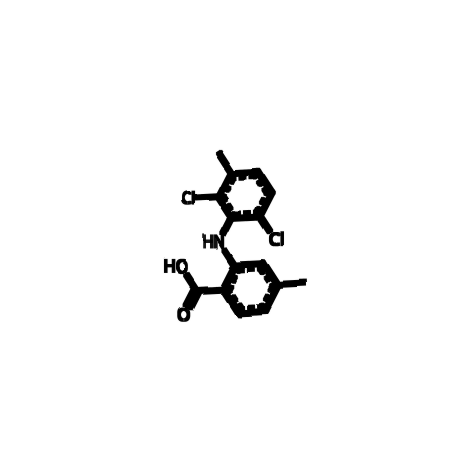 Cc1ccc(C(=O)O)c(Nc2c(Cl)ccc(C)c2Cl)c1